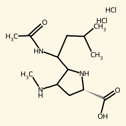 CNC1C[C@@H](C(=O)O)NC1C(CC(C)C)NC(C)=O.Cl.Cl